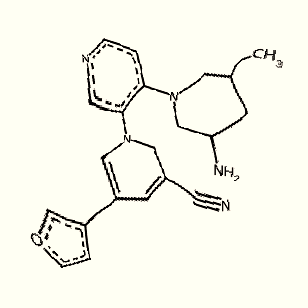 CC1CC(N)CN(c2ccncc2N2C=C(c3ccoc3)C=C(C#N)C2)C1